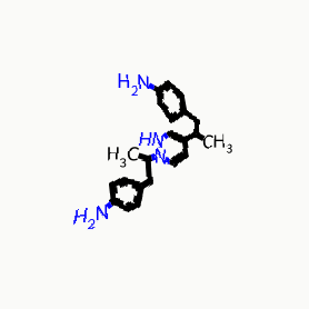 CC(Cc1ccc(N)cc1)C1=CNN(C(C)Cc2ccc(N)cc2)C=C1